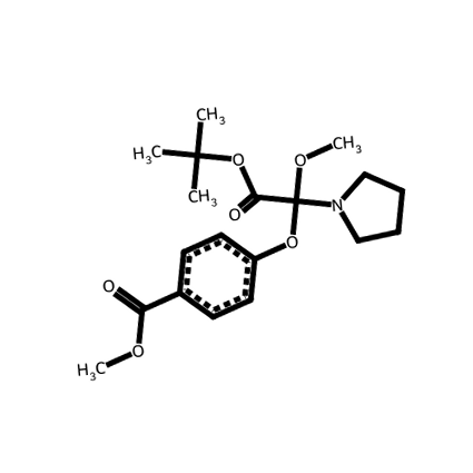 COC(=O)c1ccc(OC(OC)(C(=O)OC(C)(C)C)N2CCCC2)cc1